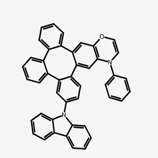 c1ccc(-n2ccoc3cc4c5ccccc5c5ccccc5c5cc(-n6c7ccccc7c7ccccc76)ccc5c4cc32)cc1